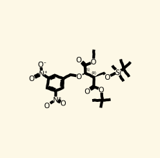 COC(=O)[C@@H](OCc1cc([N+](=O)[O-])cc([N+](=O)[O-])c1)[C@@H](CO[Si](C)(C)C(C)(C)C)C(=O)OC(C)(C)C